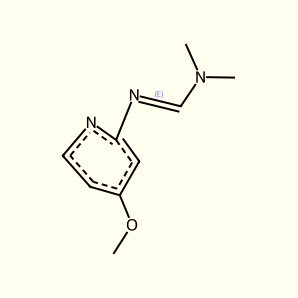 COc1ccnc(/N=C/N(C)C)c1